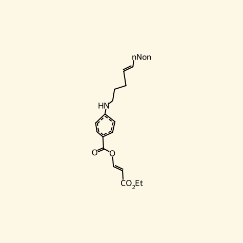 CCCCCCCCCC=CCCCNc1ccc(C(=O)OC=CC(=O)OCC)cc1